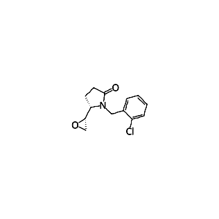 O=C1CC[C@@H]([C@@H]2CO2)N1Cc1ccccc1Cl